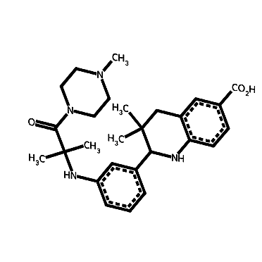 CN1CCN(C(=O)C(C)(C)Nc2cccc(C3Nc4ccc(C(=O)O)cc4CC3(C)C)c2)CC1